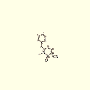 Cn1c(Cc2ccccc2)ccc(C#N)c1=O